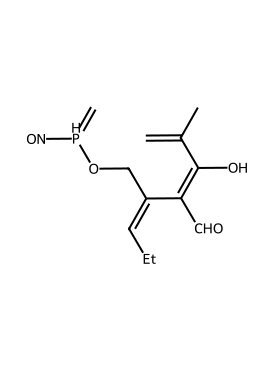 C=C(C)/C(O)=C(C=O)\C(=C/CC)CO[PH](=C)N=O